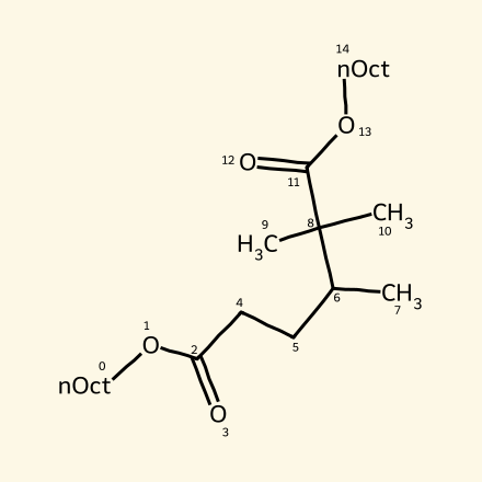 CCCCCCCCOC(=O)CCC(C)C(C)(C)C(=O)OCCCCCCCC